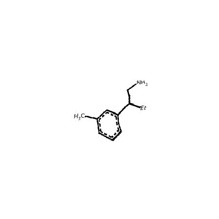 CCC([CH2][AlH2])c1cccc(C)c1